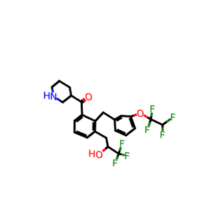 O=C(c1cccc(CC(O)C(F)(F)F)c1Cc1cccc(OC(F)(F)C(F)F)c1)C1CCCNC1